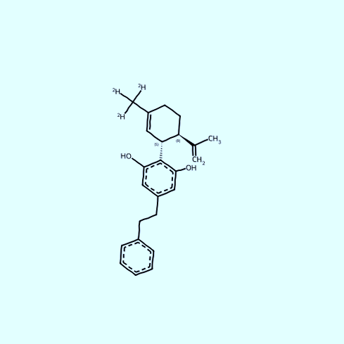 [2H]C([2H])([2H])C1=C[C@@H](c2c(O)cc(CCc3ccccc3)cc2O)[C@H](C(=C)C)CC1